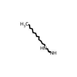 CCCCCCCCCCCCNCC=N